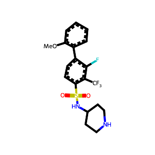 COc1ccccc1-c1ccc(S(=O)(=O)NC2CCNCC2)c(C(F)(F)F)c1F